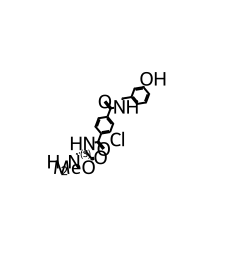 COC(=O)[C@H](CN)NC(=O)c1ccc(C(=O)NCc2cccc(O)c2)cc1Cl